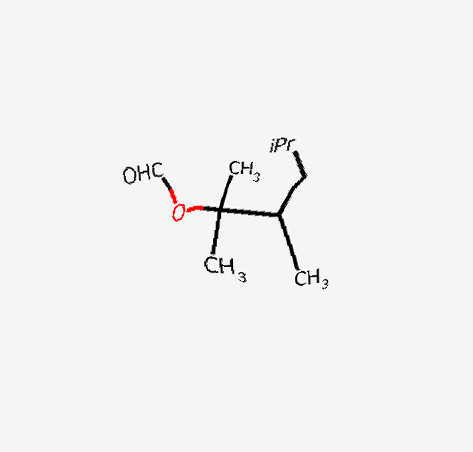 CC(C)CC(C)C(C)(C)OC=O